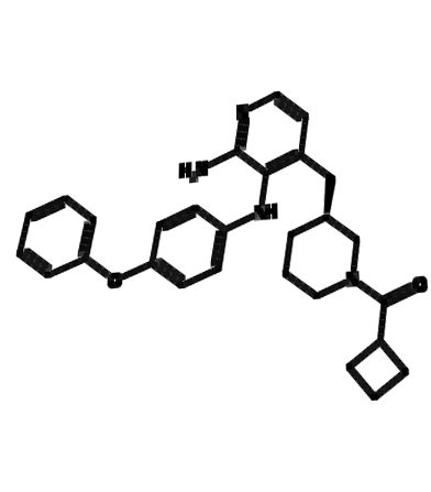 Nc1nccc(C[C@@H]2CCCN(C(=O)C3CCC3)C2)c1Nc1ccc(Oc2ccccc2)cc1